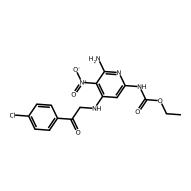 CCOC(=O)Nc1cc(NCC(=O)c2ccc(Cl)cc2)c([N+](=O)[O-])c(N)n1